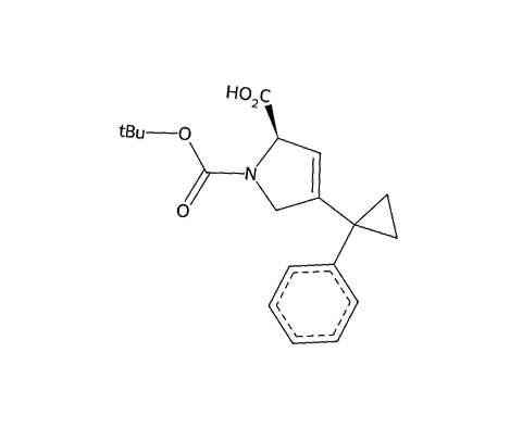 CC(C)(C)OC(=O)N1CC(C2(c3ccccc3)CC2)=C[C@@H]1C(=O)O